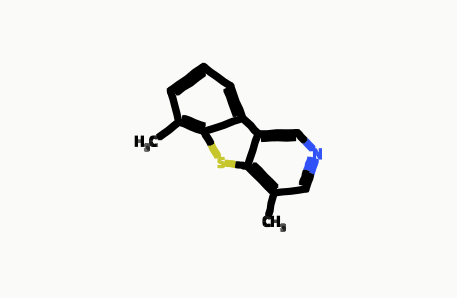 Cc1cccc2c1sc1c(C)cncc12